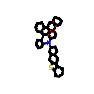 c1ccc(-c2ccc(N(c3ccc4cc5c(cc4c3)sc3ccccc35)c3ccccc3-c3cc4ccccc4c4ccccc34)cc2)cc1